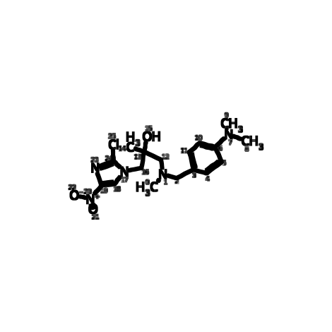 CN(Cc1ccc(N(C)C)cc1)CC(C)(O)Cn1cc([N+](=O)[O-])nc1Cl